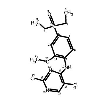 CCP(=O)(CC)c1ccc(Nc2nc(Cl)ncc2Cl)c(OC)c1